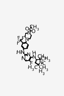 CN1C(C)(C)CC(Nc2nc(Nc3ccc(N4CCN(S(C)(=O)=O)CC4)c(C(F)(F)F)c3)ncc2F)C1(C)C